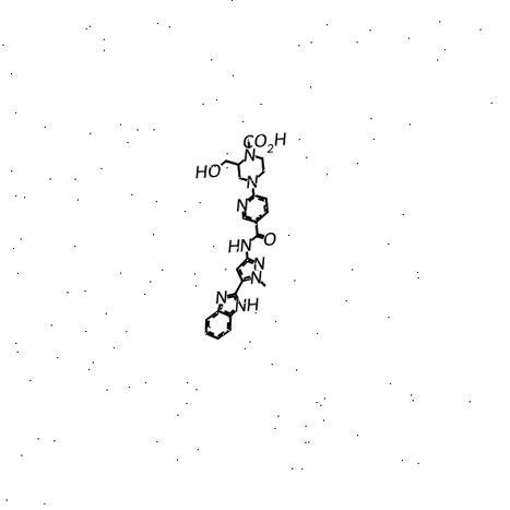 Cn1nc(NC(=O)c2ccc(N3CCN(C(=O)O)C(CO)C3)nc2)cc1-c1nc2ccccc2[nH]1